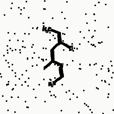 C\C=C(Cl)/C=C(I)\N=C/N